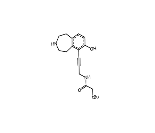 CC(C)(C)CC(=O)NCC#Cc1c(O)ccc2c1CCNCC2